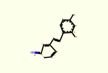 C\C=C/C(/C=C/c1ccc(C)cc1C)=C\C=N